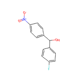 O=[N+]([O-])c1ccc(C(O)c2ccc(F)cc2)cc1